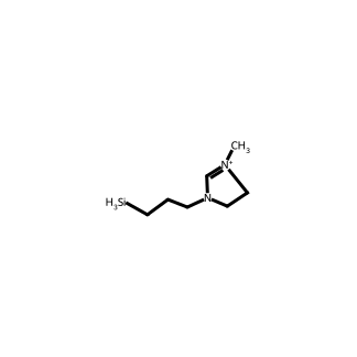 C[N+]1=CN(CCC[SiH3])CC1